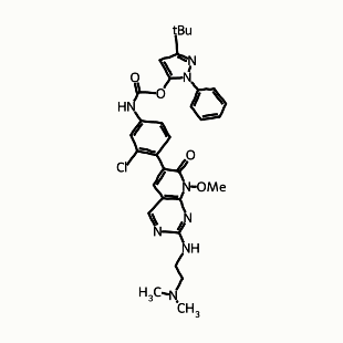 COn1c(=O)c(-c2ccc(NC(=O)Oc3cc(C(C)(C)C)nn3-c3ccccc3)cc2Cl)cc2cnc(NCCN(C)C)nc21